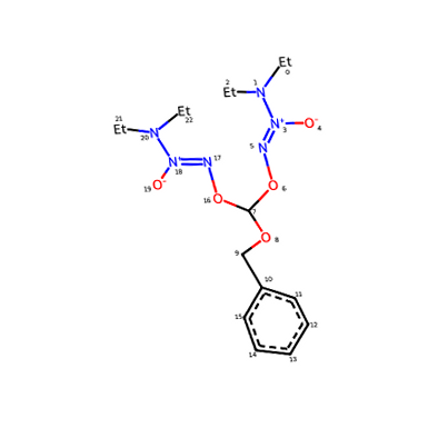 CCN(CC)[N+]([O-])=NOC(OCc1ccccc1)ON=[N+]([O-])N(CC)CC